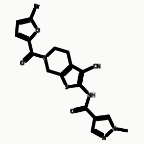 Cn1cc(C(=O)Nc2sc3c(c2C#N)CCN(C(=O)c2ccc(Br)o2)C3)cn1